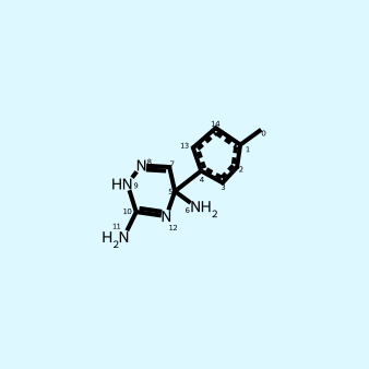 Cc1ccc(C2(N)C=NNC(N)=N2)cc1